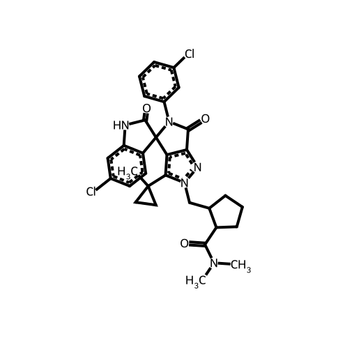 CN(C)C(=O)C1CCCC1Cn1nc2c(c1C1(C)CC1)C1(C(=O)Nc3cc(Cl)ccc31)N(c1cccc(Cl)c1)C2=O